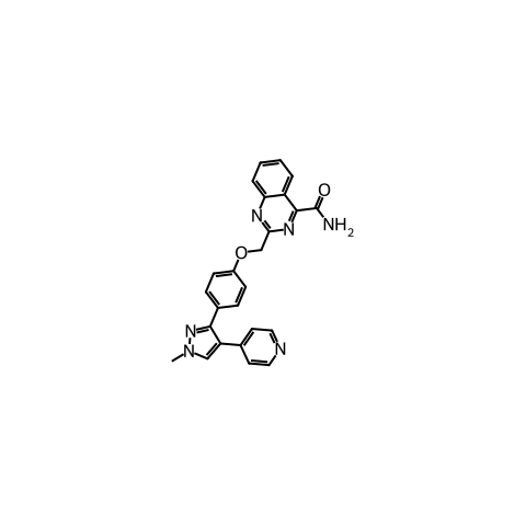 Cn1cc(-c2ccncc2)c(-c2ccc(OCc3nc(C(N)=O)c4ccccc4n3)cc2)n1